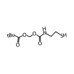 CC(C)(C)C(=O)OCOC(=O)NCCS